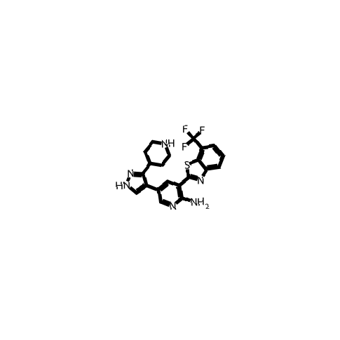 Nc1ncc(-c2c[nH]nc2C2CCNCC2)cc1-c1nc2cccc(C(F)(F)F)c2s1